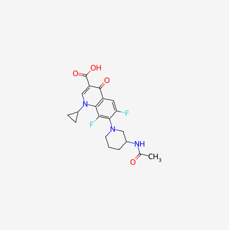 CC(=O)NC1CCCN(c2c(F)cc3c(=O)c(C(=O)O)cn(C4CC4)c3c2F)C1